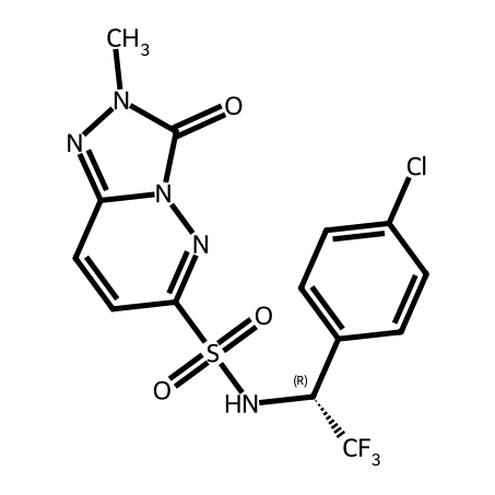 Cn1nc2ccc(S(=O)(=O)N[C@H](c3ccc(Cl)cc3)C(F)(F)F)nn2c1=O